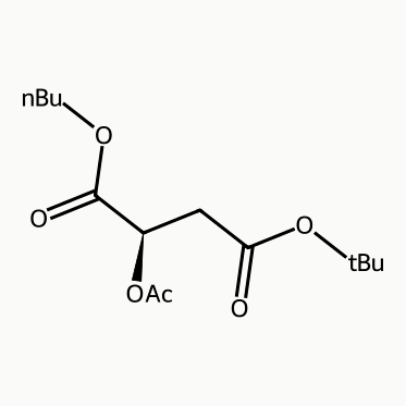 CCCCOC(=O)[C@@H](CC(=O)OC(C)(C)C)OC(C)=O